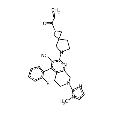 C=CC(=O)N1CC2(CCN(c3nc4c(c(-c5ccccc5F)c3C#N)CCN(c3nccn3C)C4)C2)C1